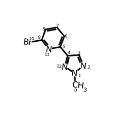 Cn1ncc(-c2cccc(Br)n2)n1